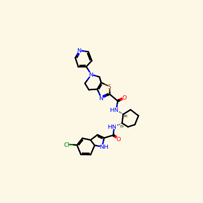 O=C(N[C@H]1CCCC[C@H]1NC(=O)c1nc2c(s1)CN(c1ccncc1)CC2)C1=CC2C=C(Cl)C=CC2N1